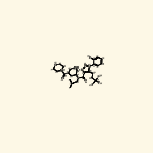 CC(C)CN(C(=O)c1nnn(-c2ccccc2F)c1CCC(F)(F)F)[C@@H]1CNC[C@H](C(=O)N2CCOCC2)C1